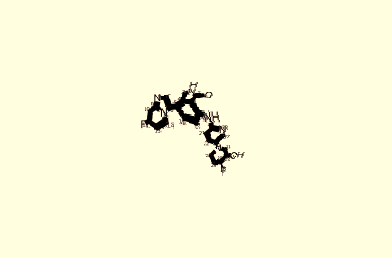 O=C1NCc2c(-c3cnc4cc(F)ccn34)ccc(Nc3ccc(N4CC[C@H](F)C(O)C4)cn3)c21